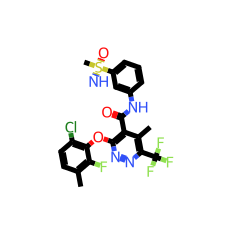 Cc1ccc(Cl)c(Oc2nnc(C(F)(F)F)c(C)c2C(=O)Nc2cccc(S(C)(=N)=O)c2)c1F